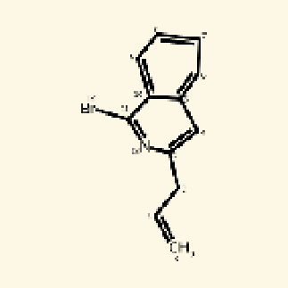 C=CCc1cc2ccccc2c(Br)n1